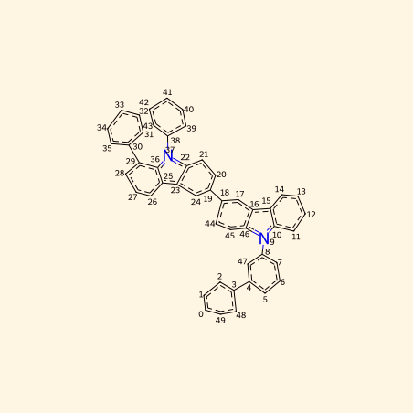 c1ccc(-c2cccc(-n3c4ccccc4c4cc(-c5ccc6c(c5)c5cccc(-c7ccccc7)c5n6-c5ccccc5)ccc43)c2)cc1